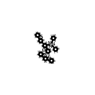 c1ccc(-c2nc(-c3ccccc3)nc(-c3cc(-c4ccc5c(c4)sc4ccccc45)cc4oc5c(-n6c7ccccc7c7ccc8c9ccccc9sc8c76)cccc5c34)n2)cc1